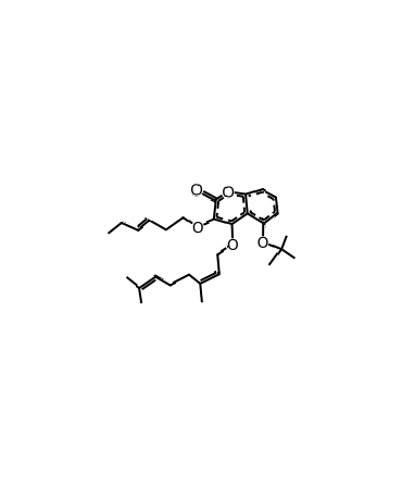 CCC=CCCOc1c(OCC=C(C)CCC=C(C)C)c2c(OC(C)(C)C)cccc2oc1=O